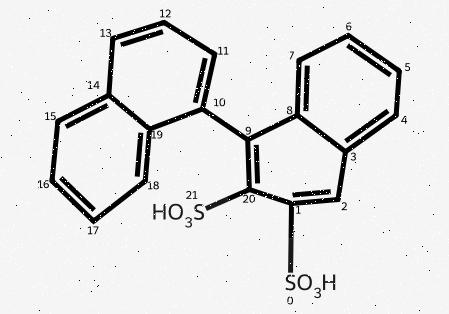 O=S(=O)(O)c1cc2ccccc2c(-c2cccc3ccccc23)c1S(=O)(=O)O